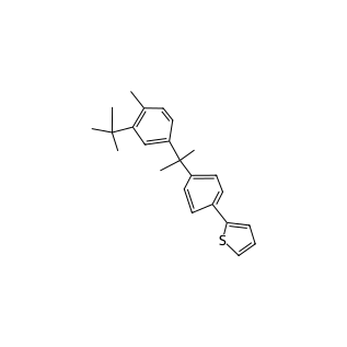 Cc1ccc(C(C)(C)c2ccc(-c3cccs3)cc2)cc1C(C)(C)C